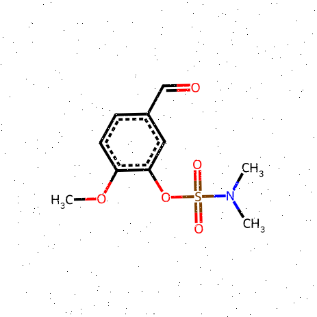 COc1ccc(C=O)cc1OS(=O)(=O)N(C)C